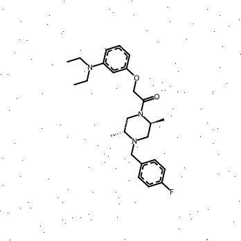 CCN(CC)c1cccc(OCC(=O)N2C[C@@H](C)N(Cc3ccc(F)cc3)C[C@@H]2C)c1